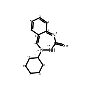 S=C1N=c2ccccc2=CN(C2CCCCC2)N1